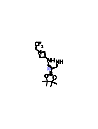 CC1(C)OB(/C(C=N)=C/NC2CN(CC(F)(F)F)C2)OC1(C)C